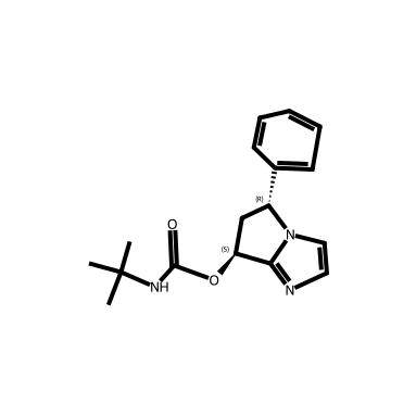 CC(C)(C)NC(=O)O[C@H]1C[C@H](c2ccccc2)n2ccnc21